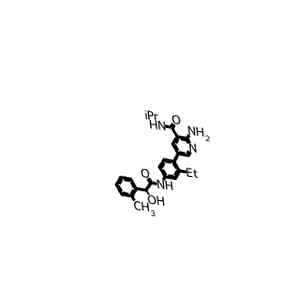 CCc1cc(NC(=O)[C@@H](O)c2ccccc2C)ccc1-c1cnc(N)c(C(=O)NC(C)C)c1